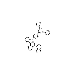 c1ccc(-c2cc(-c3ccc(-n4c5ccccc5c5c6ccccc6c6c(sc7ccc8ccccc8c76)c54)cc3)nc(-c3ccccc3)n2)cc1